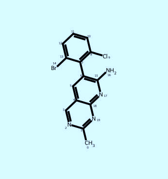 Cc1ncc2cc(-c3c(Cl)cccc3Br)c(N)nc2n1